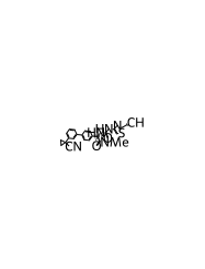 C#Cc1nc(NC(=O)N[C@@H](C(=O)NC)c2ccc(-c3cccc(C4(C#N)CC4)c3)cc2)cs1